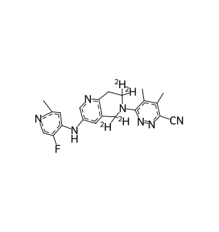 [2H]C1([2H])Cc2ncc(Nc3cc(C)ncc3F)cc2C([2H])([2H])N1c1nnc(C#N)c(C)c1C